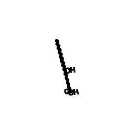 CCCCCCCCCC=CCC=CCC(O)CCCCCCCCC(=O)O